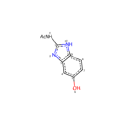 CC(=O)Nc1nc2cc(O)ccc2[nH]1